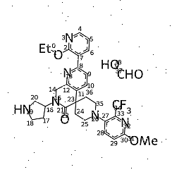 CCOc1ncccc1-c1ccc2c(n1)CN(C1CCNC1)C(=O)C21CCN(c2ccc(OC)nc2C(F)(F)F)CC1.O=CO